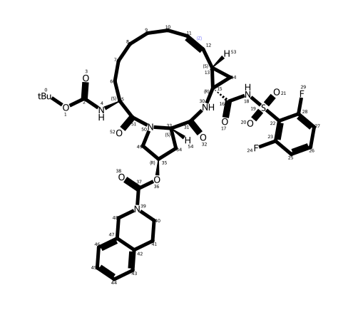 CC(C)(C)OC(=O)N[C@H]1CCCCC/C=C\[C@@H]2C[C@@]2(C(=O)NS(=O)(=O)c2c(F)cccc2F)NC(=O)[C@@H]2C[C@@H](OC(=O)N3CCc4ccccc4C3)CN2C1=O